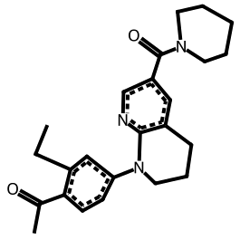 CCc1cc(N2CCCc3cc(C(=O)N4CCCCC4)cnc32)ccc1C(C)=O